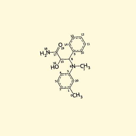 Cc1cccc(N(C)C(c2ccccc2)C(O)C(N)=O)c1